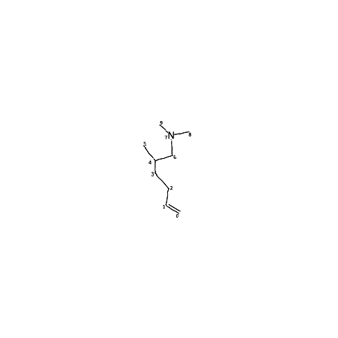 C=CCCC(C)CN(C)C